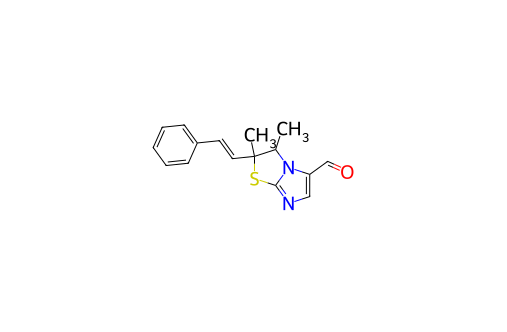 CC1n2c(C=O)cnc2SC1(C)C=Cc1ccccc1